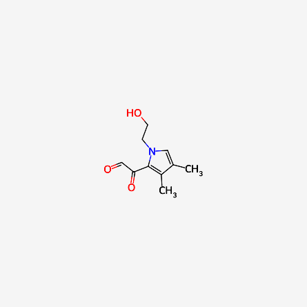 Cc1cn(CCO)c(C(=O)C=O)c1C